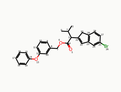 CC(C)C(C(=O)OCc1cccc(Oc2ccccc2)c1)C1=Cc2cc(Br)ccc2C1